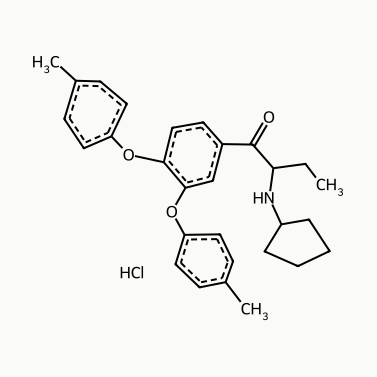 CCC(NC1CCCC1)C(=O)c1ccc(Oc2ccc(C)cc2)c(Oc2ccc(C)cc2)c1.Cl